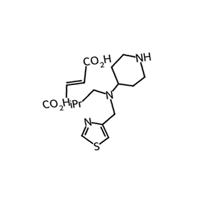 CC(C)CN(Cc1cscn1)C1CCNCC1.O=C(O)C=CC(=O)O